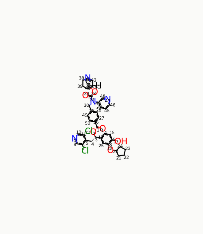 O=C(O[C@@H](Cc1c(Cl)cncc1Cl)c1ccc(O)c(OC2CCCC2)c1)c1ccc(CN(C(=O)O[C@H]2CN3CCC2CC3)c2cccnc2)cc1